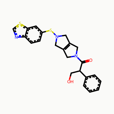 O=C(C(CO)c1ccccc1)N1CC2=C(CN(Sc3ccc4ncsc4c3)C2)C1